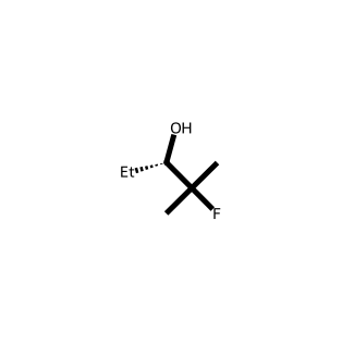 CC[C@H](O)C(C)(C)F